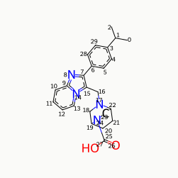 CC(C)c1ccc(-c2nc3ccccn3c2CN2CC3CCC2CN3C(=O)O)cc1